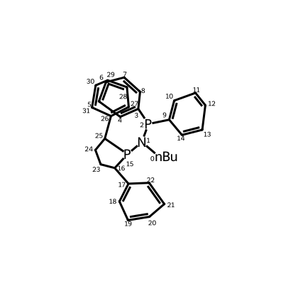 CCCCN(P(c1ccccc1)c1ccccc1)P1C(c2ccccc2)CCC1c1ccccc1